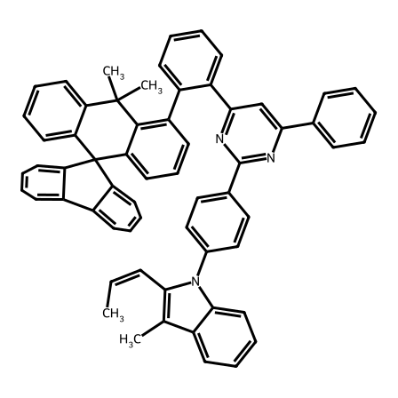 C/C=C\c1c(C)c2ccccc2n1-c1ccc(-c2nc(-c3ccccc3)cc(-c3ccccc3-c3cccc4c3C(C)(C)c3ccccc3C43c4ccccc4-c4ccccc43)n2)cc1